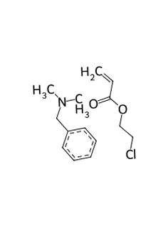 C=CC(=O)OCCCl.CN(C)Cc1ccccc1